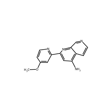 COc1ccnc(-c2cc(N)c3ccncc3n2)c1